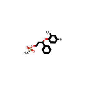 [2H]c1ccc(OC(CCOS(C)(=O)=O)c2ccccc2)c(C)c1